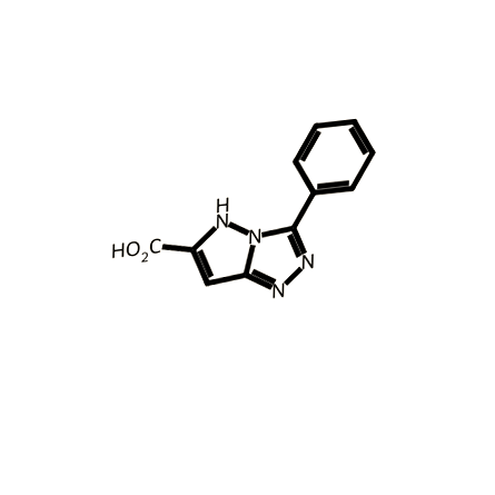 O=C(O)c1cc2nnc(-c3ccccc3)n2[nH]1